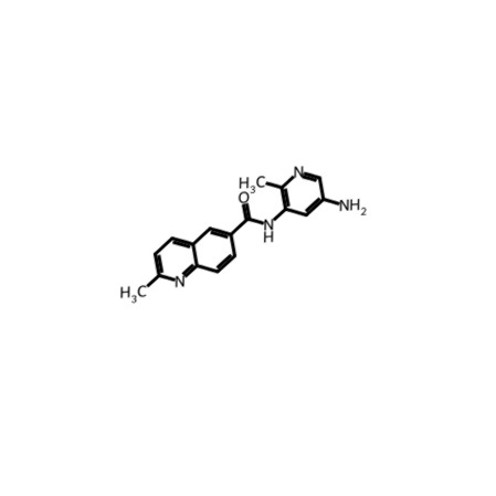 Cc1ccc2cc(C(=O)Nc3cc(N)cnc3C)ccc2n1